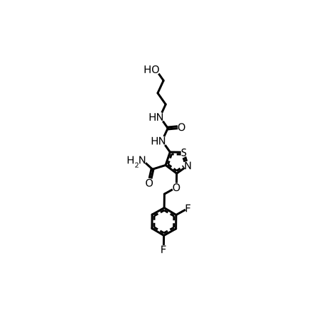 NC(=O)c1c(OCc2ccc(F)cc2F)nsc1NC(=O)NCCCO